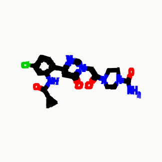 NC(=O)N1CCN(C(=O)Cn2cnc(-c3ccc(Cl)cc3NC(=O)C3CC3)cc2=O)CC1